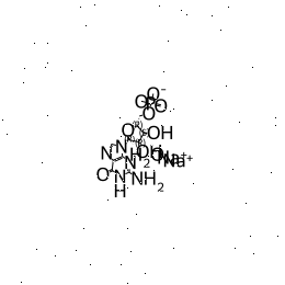 Nc1nc2c(ncn2[C@@H]2O[C@H](COP(=O)([O-])[O-])[C@@H](O)[C@H]2O)c(=O)[nH]1.O.[Na+].[Na+]